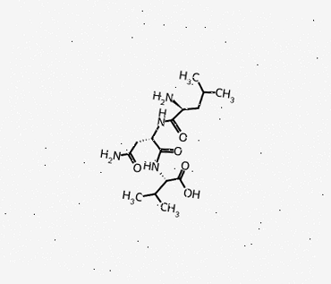 CC(C)C[C@H](N)C(=O)N[C@@H](CC(N)=O)C(=O)N[C@H](C(=O)O)C(C)C